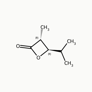 CC(C)[C@H]1OC(=O)[C@@H]1C